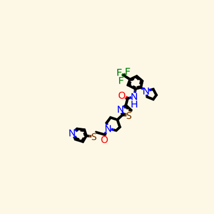 O=C(Nc1cc(C(F)(F)F)ccc1N1CCCC1)c1csc(C2CCN(C(=O)CSc3ccncc3)CC2)n1